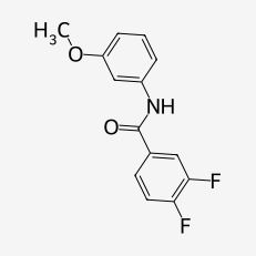 COc1cccc(NC(=O)c2ccc(F)c(F)c2)c1